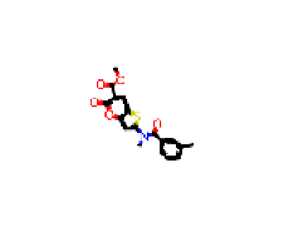 COC(=O)c1cc2sc(N(C)C(=O)c3cccc(C)c3)cc2oc1=O